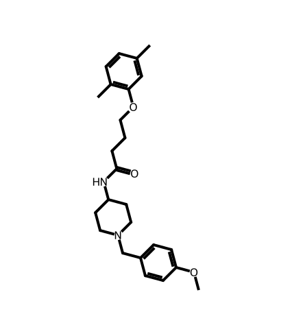 COc1ccc(CN2CCC(NC(=O)CCCOc3cc(C)ccc3C)CC2)cc1